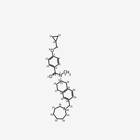 CN(C(=O)c1ccc(OCC2CC2)cc1)[C@H]1CCc2cc(CN3CCCCCC3)ccc2C1